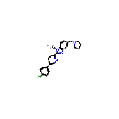 Cn1c(-c2ccc(-c3ccc(Cl)cc3)cn2)nc2cc(CN3CCCC3)ccc21